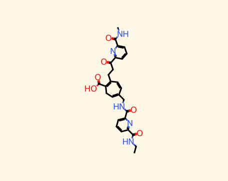 CCNC(=O)c1cccc(C(=O)NCC2=CCC(C(=O)O)=C(CCC(=O)c3cccc(C(=O)NC)n3)C=C2)n1